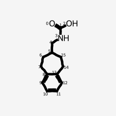 O=C(O)NCC1CCc2ccccc2CC1